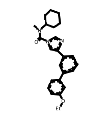 CCOc1cccc(-c2cccc(-c3cn(C(=O)N(C)C4CCCCC4)cn3)c2)c1